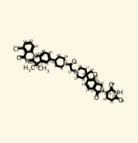 CC1(C)c2cc(C3CCN(C(=O)CN4CCC5(CC4)COc4c5ccc5c4CN([C@H]4CCC(=O)NC4=O)C5=O)CC3)ccc2-n2c1nc(=O)c1c(Cl)cccc12